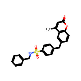 O=c1cc(C(F)(F)F)c2cc(Cc3ccc(S(=O)(=O)NCc4ccccc4)cc3)ccc2o1